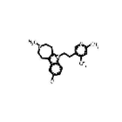 Cc1cc(C(F)(F)F)c(CCn2c3c(c4cc(Cl)ccc42)CCN(C)CC3)cn1